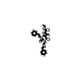 CCOC(=O)c1sc2c(c1C)c(=O)n(CCOCc1ccccc1)c(=O)n2CCc1ccccc1